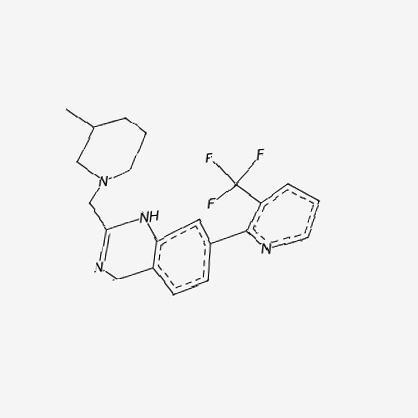 CC1CCCN(CC2=N[CH]c3ccc(-c4ncccc4C(F)(F)F)cc3N2)C1